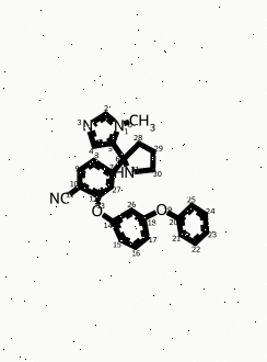 Cn1cncc1C1(c2ccc(C#N)c(Oc3cccc(Oc4ccccc4)c3)c2)CCCN1